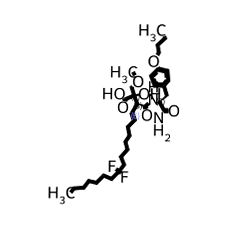 CCCCCCCC(F)(F)CCCCCC/C=C/[C@H](C(=O)N[C@@H](Cc1ccc(OCCCC)cc1)C(N)=O)[C@@](O)(COC)C(=O)O